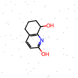 Oc1ccc2c(n1)C(O)CCC2